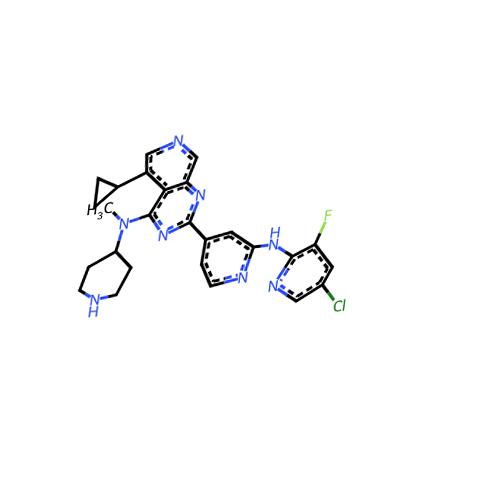 CN(c1nc(-c2ccnc(Nc3ncc(Cl)cc3F)c2)nc2cncc(C3CC3)c12)C1CCNCC1